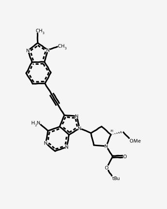 COC[C@H]1CC(n2nc(C#Cc3ccc4nc(C)n(C)c4c3)c3c(N)ncnc32)CN1C(=O)OC(C)(C)C